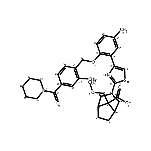 COCC1(C(=O)O)C2CCC1CN(c1nc(-c3cc(C)ccc3OCc3ccc(C(=O)N4CCCCC4)cc3C)cs1)C2